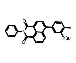 CCCCc1cc(-c2ccc3c4c(cccc24)C(=O)N(c2ccccc2)C3=O)ccc1C